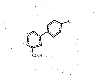 O=C(O)c1cncc(-c2ccc(Cl)cc2)c1